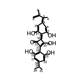 C=C(C)C(C)=c1cc(O)c(=C2C(=O)C(c3c(O)cc(C(C)C)cc3O)=C2O)c(O)c1